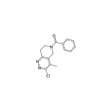 Cc1c(Cl)nnc2c1CN(C(=O)c1ccccc1)CC2